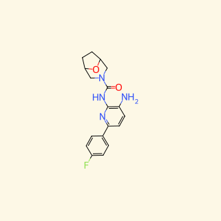 Nc1ccc(-c2ccc(F)cc2)nc1NC(=O)N1CC2CCC(C1)O2